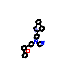 C1=C(/c2ccc(N(c3ccc(-c4cccc5c4oc4ccccc45)cc3)c3cccnc3)cc2)c2cccc(c2)-c2ccccc2/C=C/1